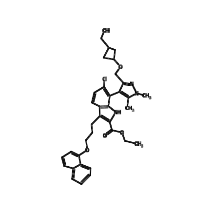 CCOC(=O)c1[nH]c2c(-c3c(COC4CC(CO)C4)nn(C)c3C)c(Cl)ccc2c1CCCOc1cccc2ccccc12